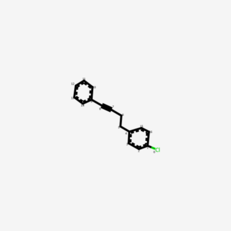 Clc1ccc(CCC#Cc2ccccc2)cc1